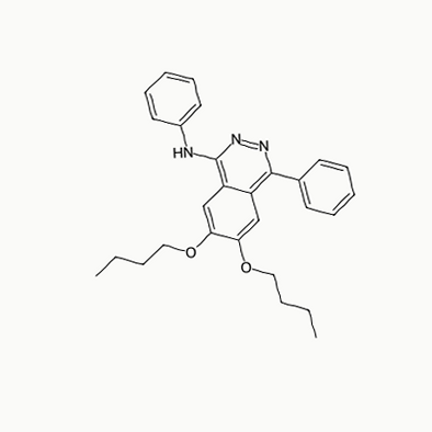 CCCCOc1cc2c(Nc3ccccc3)nnc(-c3ccccc3)c2cc1OCCCC